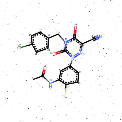 CC(=O)Nc1cc(-n2nc(C#N)c(=O)n(Cc3ccc(Cl)cc3)c2=O)ccc1F